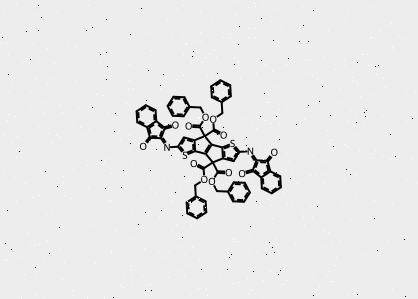 O=C(OCc1ccccc1)C1(C(=O)OCc2ccccc2)C2=C(c3sc(N=c4c(=O)c5ccccc5c4=O)cc31)C(C(=O)OCc1ccccc1)(C(=O)OCc1ccccc1)c1cc(N=c3c(=O)c4ccccc4c3=O)sc12